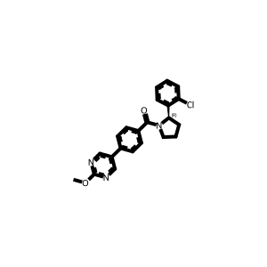 COc1ncc(-c2ccc(C(=O)N3CCC[C@@H]3c3ccccc3Cl)cc2)cn1